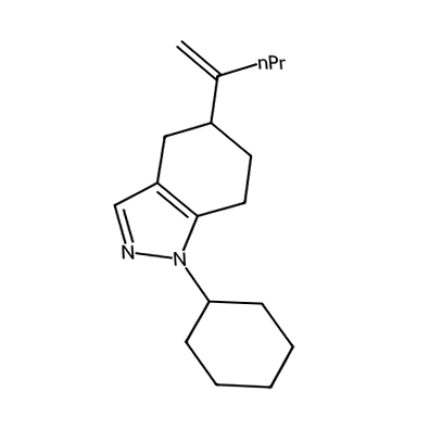 C=C(CCC)C1CCc2c(cnn2C2CCCCC2)C1